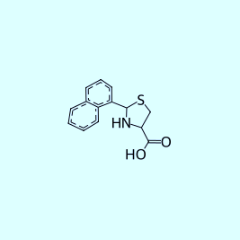 O=C(O)C1CSC(c2cccc3ccccc23)N1